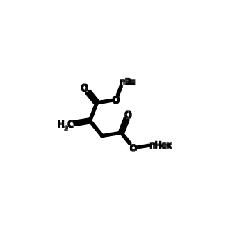 C=C(CC(=O)OCCCCCC)C(=O)OCCCC